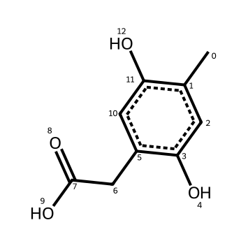 Cc1cc(O)c(CC(=O)O)cc1O